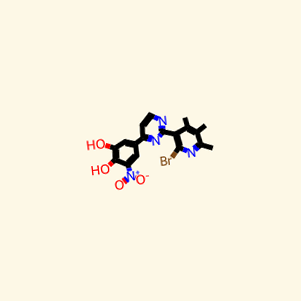 Cc1nc(Br)c(-c2nccc(-c3cc(O)c(O)c([N+](=O)[O-])c3)n2)c(C)c1C